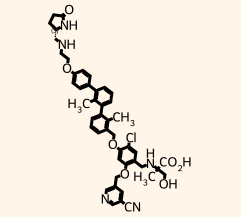 Cc1c(COc2cc(OCc3cncc(C#N)c3)c(CNC(C)(CO)C(=O)O)cc2Cl)cccc1-c1cccc(-c2ccc(OCCNC[C@@H]3CCC(=O)N3)cc2)c1C